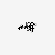 CC(C)(C)OC(=O)N1CC(C(=O)NC(c2ccncc2)c2c(O)ccc(Cl)c2Cl)C1